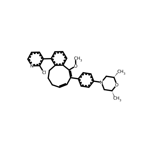 CO/C1=C(c2ccc(N3C[C@@H](C)O[C@@H](C)C3)cc2)/C=C\CCCc2c1cccc2-c1cccnc1Cl